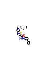 Cc1c(NC(=O)CC(C)(C)c2nc3c(s2)CN(C(=O)O)CC3)cccc1-c1ccccc1